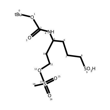 CC(C)(C)OC(=O)NC(CCCS(=O)(=O)O)CCOS(C)(=O)=O